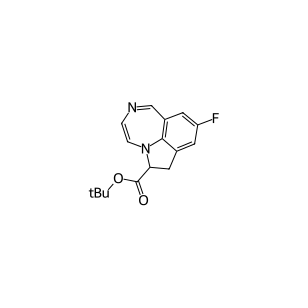 CC(C)(C)OC(=O)C1Cc2cc(F)cc3c2N1C=CN=C3